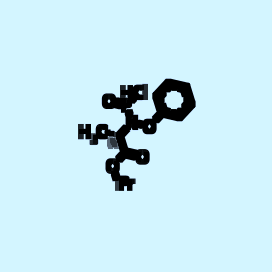 CC(C)OC(=O)[C@H](C)N(Oc1ccccc1)[PH](=O)Cl